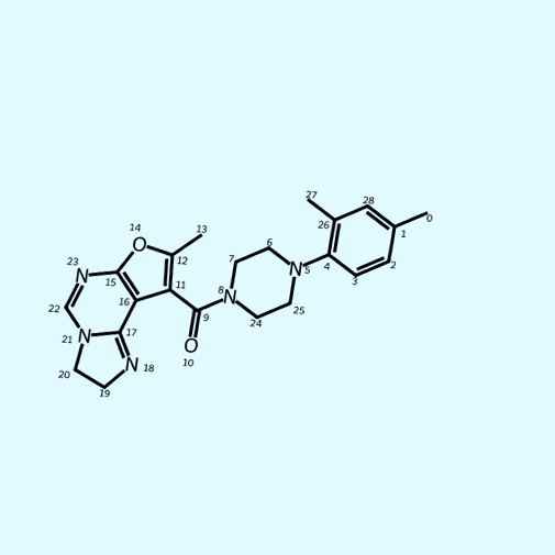 Cc1ccc(N2CCN(C(=O)c3c(C)oc4c3C3=NCCN3C=N4)CC2)c(C)c1